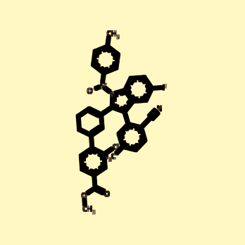 COC(=O)c1ccc(C2=CC(c3c(-c4cc(C)ccc4C#N)c4cc(F)ccc4n3[S+]([O-])c3ccc(C)cc3)=CCC2)c(Cl)c1